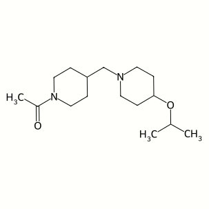 CC(=O)N1CCC(CN2CCC(OC(C)C)CC2)CC1